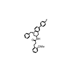 COc1ccccc1CCC(=O)NC1Cc2cc(-c3ccc(F)cc3)ccc2N(Cc2ccccc2)C1